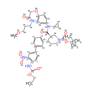 CCOC(=O)Nc1ccc(-c2cccc([C@H]3CCN(C(=O)OC(C)(C)C)C[C@@H]3C(=O)N(c3ccc4c(c3)N(CCCOC)C(=O)CO4)C3CC3)c2)cc1[N+](=O)[O-]